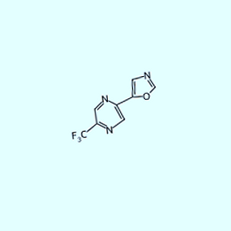 FC(F)(F)c1cnc(-c2cnco2)cn1